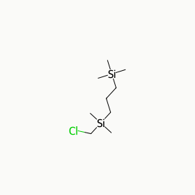 C[Si](C)(C)CCC[Si](C)(C)CCl